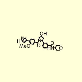 COc1cc(C(=O)N2CC(O)CC2c2cccc(C(=O)NC3CCOCC3)c2)ccc1-c1cn[nH]c1